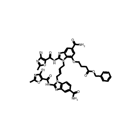 CCc1nc(C)oc1C(=O)Nc1nc2cc(C(N)=O)ccc2n1C/C=C/Cn1c(NC(=O)c2oc(C)nc2CC)nc2cc(C(N)=O)cc(OCCCC(=O)OCc3ccccc3)c21